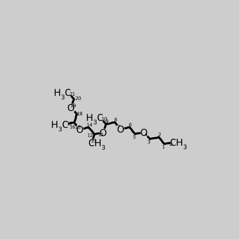 CCCCOCCOCC(C)OC(C)COC(C)COCC